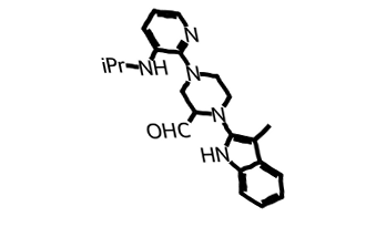 Cc1c(N2CCN(c3ncccc3NC(C)C)CC2C=O)[nH]c2ccccc12